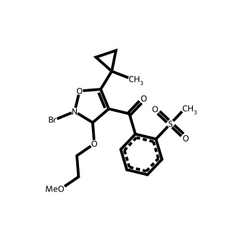 COCCOC1C(C(=O)c2ccccc2S(C)(=O)=O)=C(C2(C)CC2)ON1Br